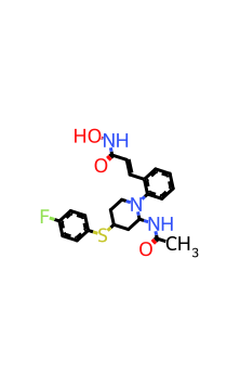 CC(=O)NC1CC(Sc2ccc(F)cc2)CCN1c1ccccc1C=CC(=O)NO